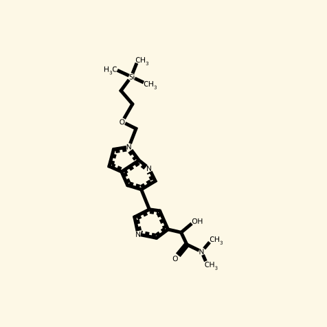 CN(C)C(=O)C(O)c1cncc(-c2cnc3c(ccn3COCC[Si](C)(C)C)c2)c1